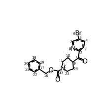 O=C(c1ccc(Br)cn1)C1CCN(C(=O)OCc2ccccc2)CC1